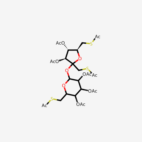 CC(=O)OC1C(CSC(C)=O)OC(OC2(CSC(C)=O)O[C@H](CSC(C)=O)[C@@H](OC(C)=O)[C@@H]2OC(C)=O)C(OC(C)=O)C1OC(C)=O